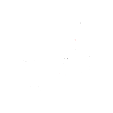 C1CCCC1.O=C(O)O.O=C(O)O.O=C(O)OC(=O)O